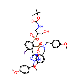 COc1ccc(CN(Cc2ccc(OC)cc2)S(=O)(=O)c2c(S(=O)(=O)C(CO)CNC(=O)OC(C)(C)C)ccc(I)c2-c2nnn(Cc3ccc(OC)cc3)n2)cc1